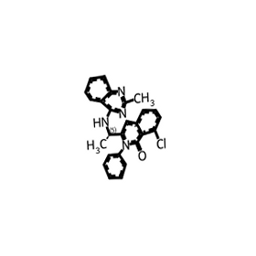 Cc1nc(N[C@@H](C)c2cc3cccc(Cl)c3c(=O)n2-c2ccccc2)c2ccccc2n1